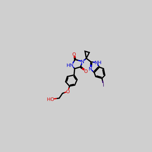 O=C1NC(c2ccc(OCCO)cc2)C(=O)N1C1(c2nc3cc(I)ccc3[nH]2)CC1